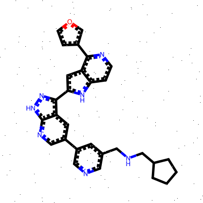 c1cc2[nH]c(-c3n[nH]c4ncc(-c5cncc(CNCC6CCCC6)c5)cc34)cc2c(-c2ccoc2)n1